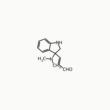 CN(C)C1(C=CC=O)CNc2ccccc21